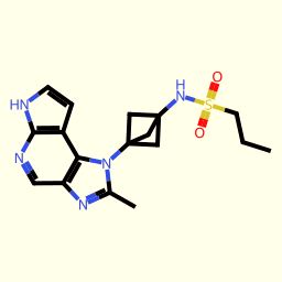 CCCS(=O)(=O)NC12CC(n3c(C)nc4cnc5[nH]ccc5c43)(C1)C2